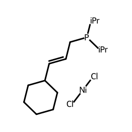 CC(C)P(CC=CC1CCCCC1)C(C)C.[Cl][Ni][Cl]